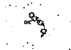 O=CN(CC1(N2CCN(Cc3ccc(F)cn3)CC2)CC1)c1ccccc1